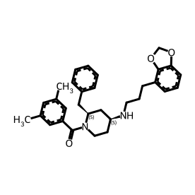 Cc1cc(C)cc(C(=O)N2CC[C@H](NCCCc3cccc4c3OCO4)C[C@@H]2Cc2ccccc2)c1